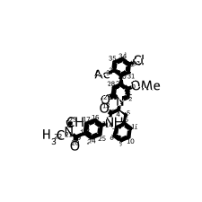 COc1cn([C@@H](Cc2ccccc2)C(=O)Nc2ccc(C(=O)N(C)C)cc2)c(=O)cc1-c1cc(Cl)ccc1C(C)=O